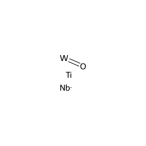 [Nb].[O]=[W].[Ti]